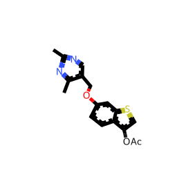 CC(=O)Oc1csc2cc(OCc3cnc(C)nc3C)ccc12